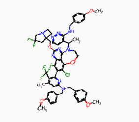 COc1ccc(CNc2nnccc2C(C)N2CCOc3c(Cl)c(-c4nc(N(Cc5ccc(OC)cc5)Cc5ccc(OC)cc5)cc(C)c4C(F)(F)F)c(F)c4nc(OCC56CCN5CC(F)(F)C6)nc2c34)cc1